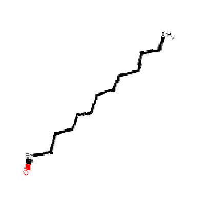 CCCCCCCCCCC[CH2][Fe]=[O]